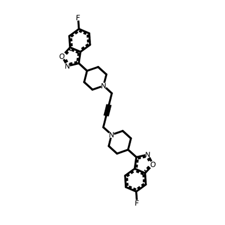 Fc1ccc2c(C3CCN(CC#CCN4CCC(c5noc6cc(F)ccc56)CC4)CC3)noc2c1